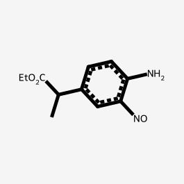 CCOC(=O)C(C)c1ccc(N)c(N=O)c1